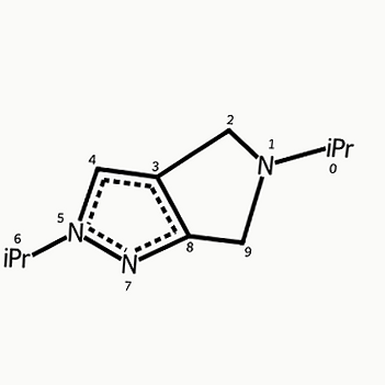 CC(C)N1Cc2cn(C(C)C)nc2C1